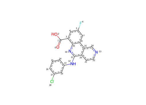 O=C(O)c1cc(F)cc2c1nc(Nc1cccc(Cl)c1)c1ccncc12